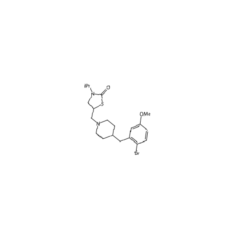 COc1ccc(Br)c(CC2CCN(CC3CN(C(C)C)C(=O)S3)CC2)c1